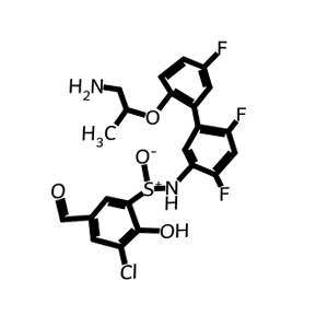 CC(CN)Oc1ccc(F)cc1-c1cc(N[S+]([O-])c2cc(C=O)cc(Cl)c2O)c(F)cc1F